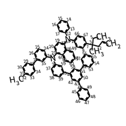 C=CCC(C)(CC)c1ccc(N(c2ccccc2)c2ccc(N(c3cccc(-c4ccc(C)cc4)c3)c3cccc(-c4cc(-c5ccccc5)cc(-c5ccccc5)c4)c3)c3ccccc23)cc1